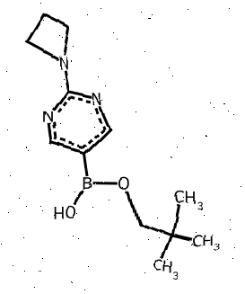 CC(C)(C)COB(O)c1cnc(N2CCC2)nc1